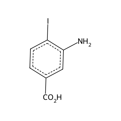 Nc1cc(C(=O)O)ccc1I